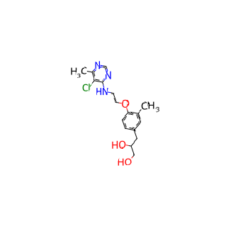 Cc1cc(CC(O)CO)ccc1OCCNc1ncnc(C)c1Cl